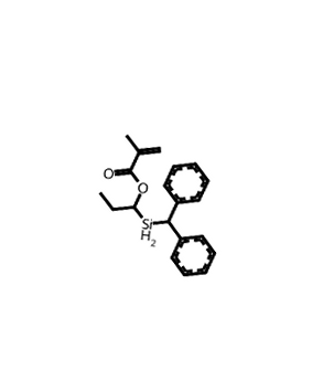 C=C(C)C(=O)OC(CC)[SiH2]C(c1ccccc1)c1ccccc1